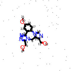 COCc1nnc2n1Cc1c(C=O)ncn1-c1ccc(OC)cc1-2